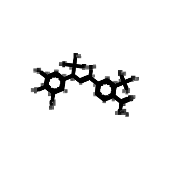 CC(=O)c1ccc(/C(F)=C/C(c2cc(F)c(F)c(Cl)c2)C(F)(F)F)cc1C(F)(F)F